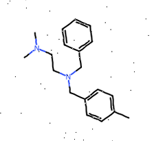 Cc1ccc(CN(CCN(C)C)Cc2ccccc2)cc1